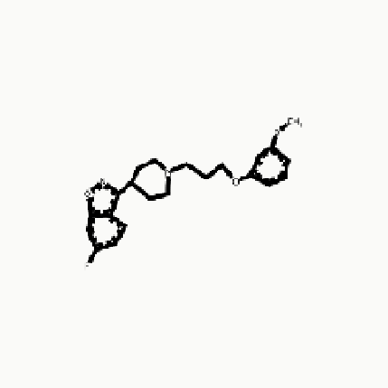 COc1[c]ccc(OCCCN2CCC(c3noc4cc(F)ccc34)CC2)c1